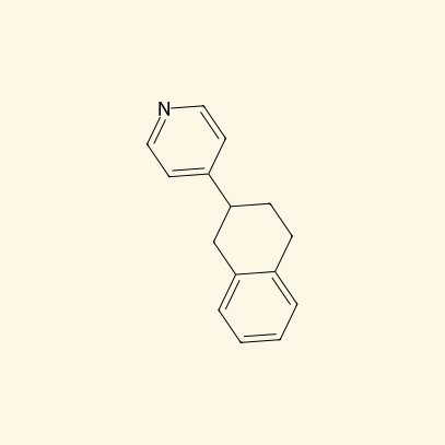 c1ccc2c(c1)CCC(c1ccncc1)C2